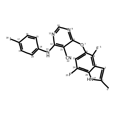 Cc1cc2c(F)c(Oc3ncnc(Nc4ccc(I)cc4)c3C#N)cc(F)c2[nH]1